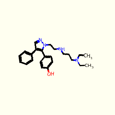 CCN(CC)CCCNCCn1ncc(-c2ccccc2)c1-c1ccc(O)cc1